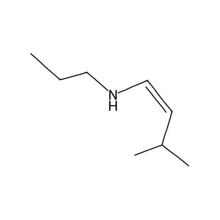 CCCN/C=C\C(C)C